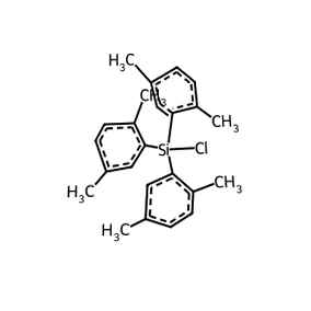 Cc1ccc(C)c([Si](Cl)(c2cc(C)ccc2C)c2cc(C)ccc2C)c1